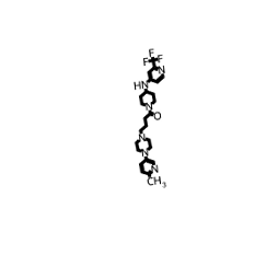 Cc1ccc(N2CCN(CCCC(=O)N3CCC(Nc4ccnc(C(F)(F)F)c4)CC3)CC2)cn1